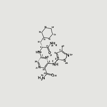 Cc1cc(Nc2nc(N[C@H](CC3CCCCC3)C(N)=O)cnc2C(N)=O)sn1